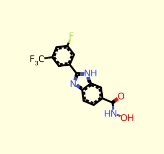 O=C(NO)c1ccc2nc(-c3cc(F)cc(C(F)(F)F)c3)[nH]c2c1